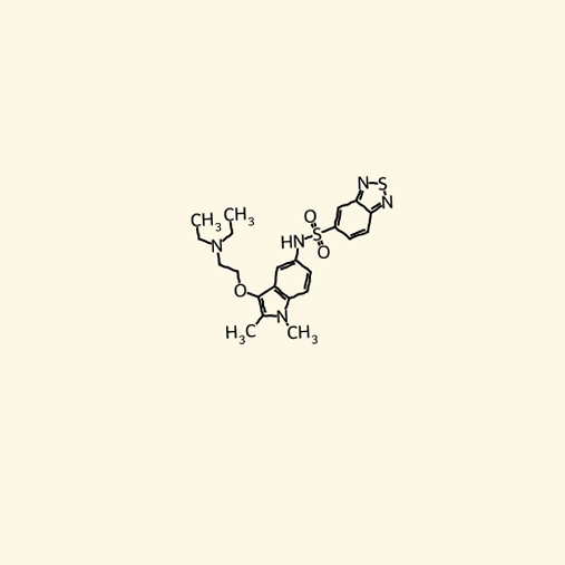 CCN(CC)CCOc1c(C)n(C)c2ccc(NS(=O)(=O)c3ccc4nsnc4c3)cc12